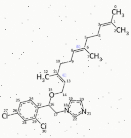 CC(C)=CCC/C(C)=C/CC/C(C)=C/COC(Cn1ccnc1)c1ccc(Cl)cc1Cl